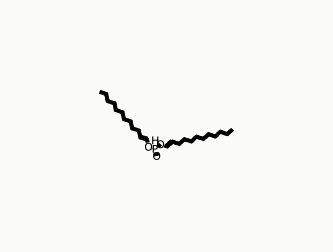 CCCCCCCCCCC=CO[PH](=O)OC=CCCCCCCCCCC